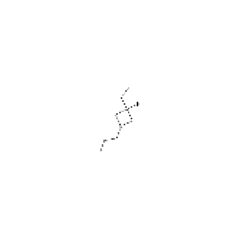 CCCN1CC(F)(CC)C1